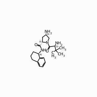 CC(C)(C)[C@H](N)C(=O)N1C[C@@H](N)C[C@H]1C(=O)N[C@@H]1CCCc2ccccc21